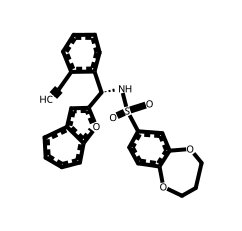 C#Cc1ccccc1[C@H](NS(=O)(=O)c1ccc2c(c1)OCCCO2)c1cc2ccccc2o1